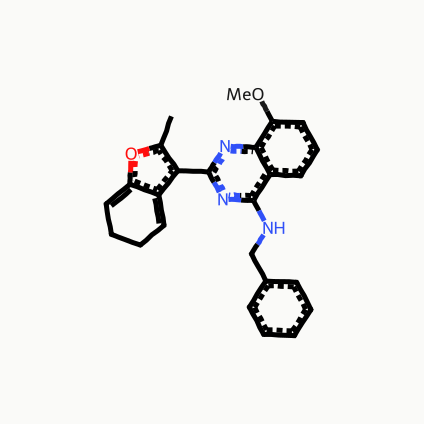 COc1cccc2c(NCc3ccccc3)nc(-c3c(C)oc4c3=CCCC=4)nc12